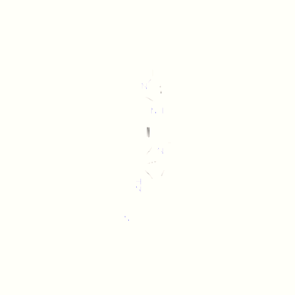 CCn1c(C#CCNc2ccc(Cl)nc2)cc2cc(CNC3CCN(C)CC3)ccc21